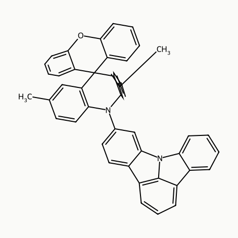 Cc1ccc2c(c1)C1(c3ccccc3Oc3ccccc31)c1cc(C)ccc1N2c1ccc2c3cccc4c5ccccc5n(c2c1)c43